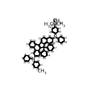 Cc1ccc(N(c2ccccc2)c2ccc3c4c(c5ccccc5c3c2)-c2ccc3cc(N(c5ccccc5)c5ccc([Si](C)(C)C)cc5)ccc3c2C4(c2ccccc2)c2ccccc2)cc1